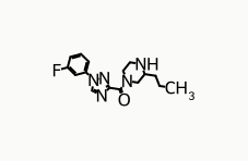 CCCC1CN(C(=O)c2ncn(-c3cccc(F)c3)n2)CCN1